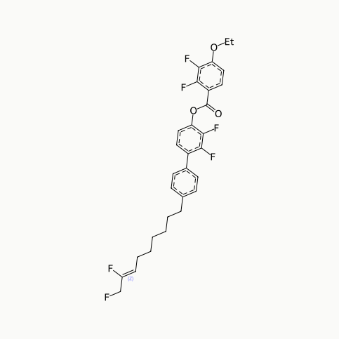 CCOc1ccc(C(=O)Oc2ccc(-c3ccc(CCCCCC/C=C(\F)CF)cc3)c(F)c2F)c(F)c1F